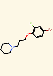 Fc1cc(Br)ccc1OCCCN1CCCCC1